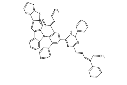 C=C/C=C(\C=C)c1cc(C2=NC(/C=C/C=C(\C=C)c3ccccc3)=NC(c3ccccc3)N2)cc(-c2ccccc2)c1-n1c2ccccc2c2cc3c(cc21)sc1ccccc13